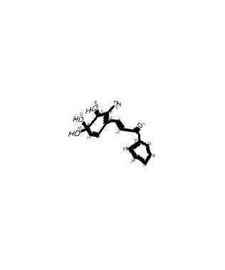 O=C(C=CC1=C(O)C(O)C(O)(O)C=C1)c1ccccc1